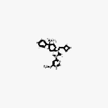 CSc1cc(N2C[C@]3(CC[C@](c4ccccc4)(N(C)C)CC3)N(CC3CCC3)C2=O)ncn1